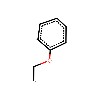 [CH2]COc1[c]cccc1